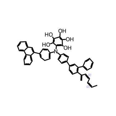 C=C(/C=C\C=C/C)c1ccc(-c2ccc(N(C3=CCC=C(c4cc5ccccc5c5ccccc45)C=C3)c3c(O)c(O)c(O)c(O)c3O)cc2)cc1-c1ccccc1